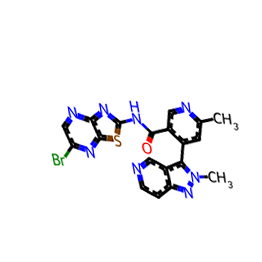 Cc1cc(-c2c3cnccc3nn2C)c(C(=O)Nc2nc3ncc(Br)nc3s2)cn1